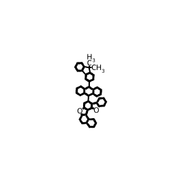 CC1(C)c2ccccc2-c2cc(-c3c4ccccc4c(-c4cc5oc6ccc7ccccc7c6c5c5oc6ccccc6c45)c4ccccc34)ccc21